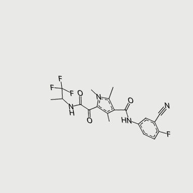 Cc1c(C(=O)Nc2ccc(F)c(C#N)c2)c(C)n(C)c1C(=O)C(=O)NC(C)C(F)(F)F